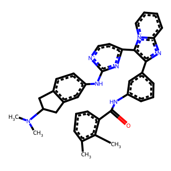 Cc1cccc(C(=O)Nc2cccc(-c3nc4ccccn4c3-c3ccnc(Nc4ccc5c(c4)CC(N(C)C)C5)n3)c2)c1C